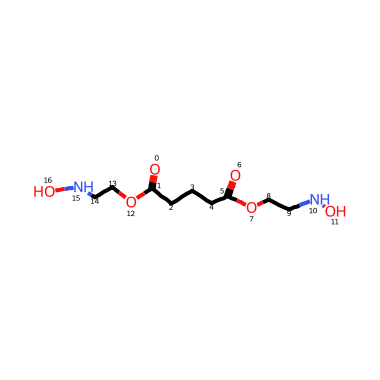 O=C(CCCC(=O)OCCNO)OCCNO